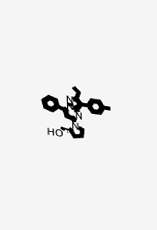 CCc1nn2c(-c3ccccc3)cc(N3CCC[C@H]3CO)nc2c1-c1ccc(C)cc1